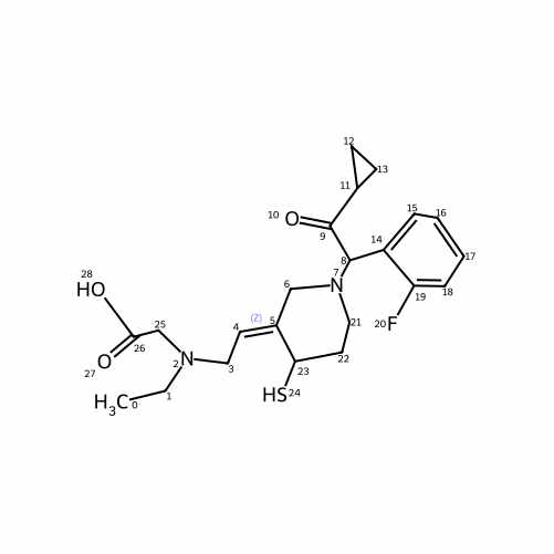 CCN(C/C=C1/CN(C(C(=O)C2CC2)c2ccccc2F)CCC1S)CC(=O)O